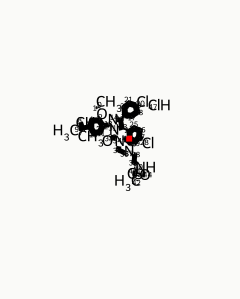 CCOc1cc(C(C)(C)C)ccc1C1=N[C@@H](c2ccc(Cl)cc2)[C@@H](c2ccc(Cl)cc2)N1C(=O)N1CCN(CCNS(C)(=O)=O)CC1.Cl